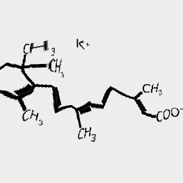 CC(C=CC1=C(C)CCCC1(C)C)=CC=CC(C)=CC(=O)[O-].[K+]